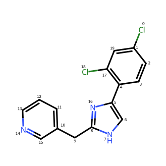 Clc1ccc(-c2c[nH]c(Cc3cccnc3)n2)c(Cl)c1